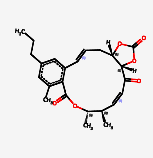 CCCc1cc(C)c2c(c1)/C=C/C[C@@H]1OC(=O)O[C@@H]1C(=O)/C=C\[C@@H](C)[C@H](C)OC2=O